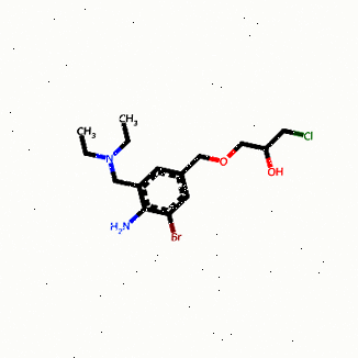 CCN(CC)Cc1cc(COCC(O)CCl)cc(Br)c1N